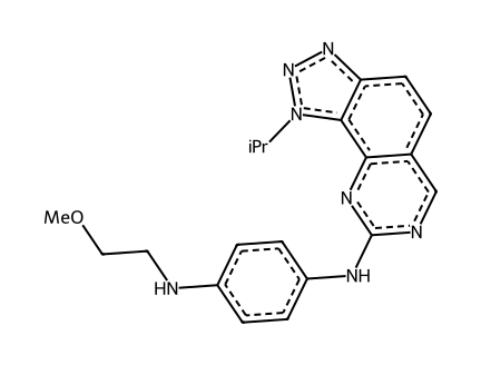 COCCNc1ccc(Nc2ncc3ccc4nnn(C(C)C)c4c3n2)cc1